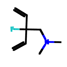 C=CC(F)(C=C)CN(C)C